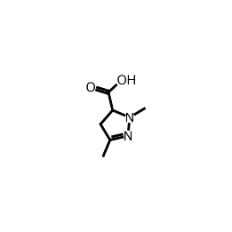 CC1=NN(C)C(C(=O)O)C1